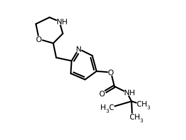 CC(C)(C)NC(=O)Oc1ccc(CC2CNCCO2)nc1